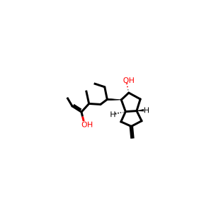 C=C1C[C@H]2C[C@@H](O)[C@H](C(CC)CC(C)/C(O)=C\C)[C@@H]2C1